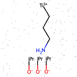 CC(C)[O-].CC(C)[O-].CC(C)[O-].NCC[CH2][Ti+3]